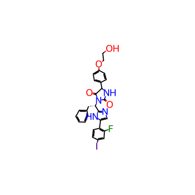 O=C1NC(c2ccc(OCCO)cc2)C(=O)N1[C@@H](Cc1ccccc1)c1ncc(-c2ccc(I)cc2F)[nH]1